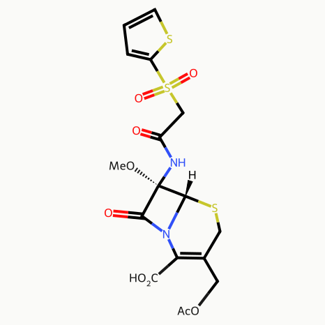 CO[C@@]1(NC(=O)CS(=O)(=O)c2cccs2)C(=O)N2C(C(=O)O)=C(COC(C)=O)CS[C@H]21